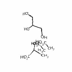 CC(=O)O.CC(=O)O.CC(O)C(=O)O.OCC(O)CO